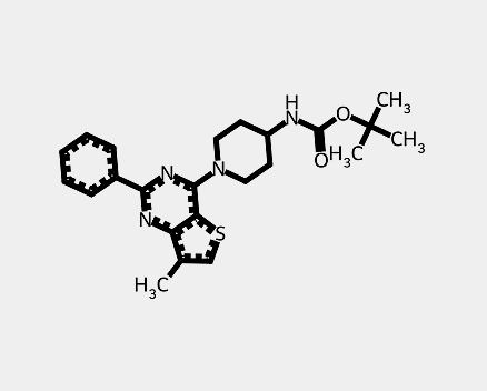 Cc1csc2c(N3CCC(NC(=O)OC(C)(C)C)CC3)nc(-c3ccccc3)nc12